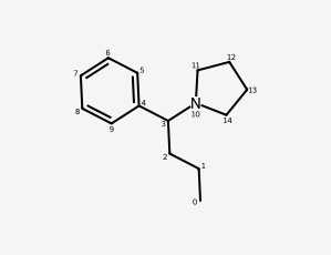 CCCC(c1ccccc1)N1CCCC1